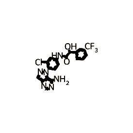 Nc1ncnc2cnn(-c3ccc(NC(=O)C(O)c4cccc(C(F)(F)F)c4)cc3Cl)c12